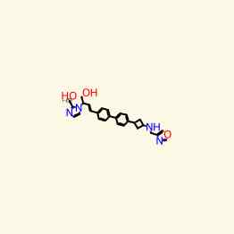 C[C@H](O)c1nccn1C(C=Cc1ccc(-c2ccc(C3CC(NCc4cocn4)C3)cc2)cc1)CO